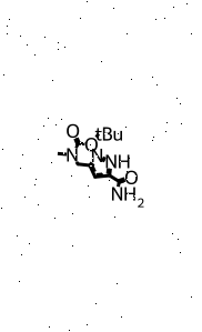 CN(Cc1cc(C(N)=O)[nH]n1)C(=O)OC(C)(C)C